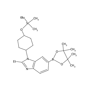 CCc1nc2ccc(B3OC(C)(C)C(C)(C)O3)cc2n1C1CCC(O[Si](C)(C)C(C)(C)C)CC1